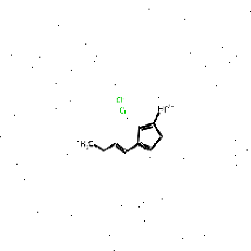 CCC=CC1=CC[C]([Hf+2])=C1.[Cl-].[Cl-]